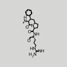 CNC1C(=O)N2C(CCC2C(=O)N[C@H](C=O)CCCNC(=N)N)CC1c1ccccc1